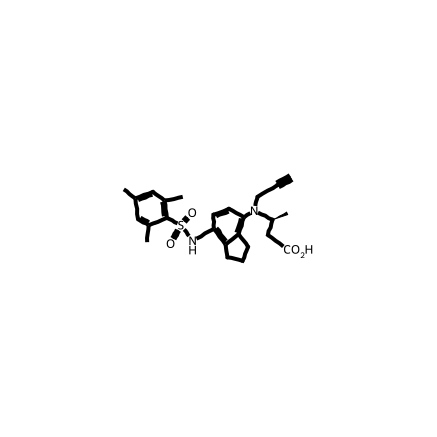 C#CCN(c1ccc(NS(=O)(=O)c2c(C)cc(C)cc2C)c2c1CCC2)[C@@H](C)CC(=O)O